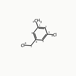 Cc1cc(Cl)cc(CCl)c1